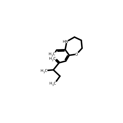 C=C(/C=C1/OCCCN/C1=C/C)C(C)CC